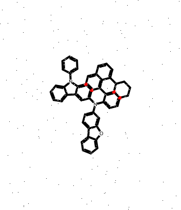 c1ccc(-n2c3ccccc3c3cc(N(c4ccc5c(c4)oc4ccccc45)c4ccccc4-c4cccc5cccc(C6CCCCC6)c45)ccc32)cc1